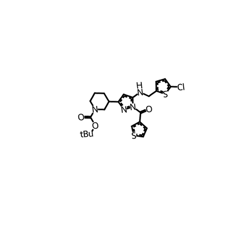 CC(C)(C)OC(=O)N1CCCC(c2cc(NCc3ccc(Cl)s3)n(C(=O)c3ccsc3)n2)C1